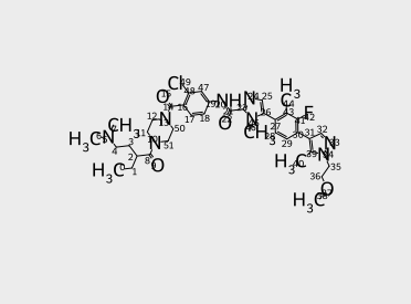 CCC(CCN(C)C)C(=O)N1CCN(C(=O)c2ccc(NC(=O)c3ncc(-c4ccc(-c5cnn(CCOC)c5C)c(F)c4C)n3C)cc2Cl)CC1